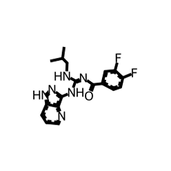 CC(C)CN/C(=N/C(=O)c1ccc(F)c(F)c1)Nc1n[nH]c2cccnc12